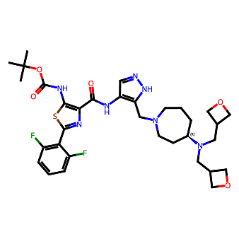 CC(C)(C)OC(=O)Nc1sc(-c2c(F)cccc2F)nc1C(=O)Nc1cn[nH]c1CN1CCC[C@@H](N(CC2COC2)CC2COC2)CC1